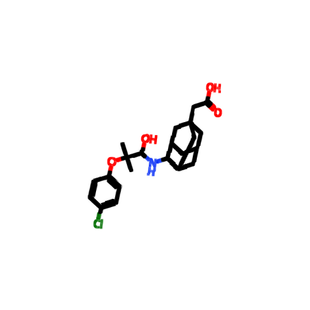 CC(C)(Oc1ccc(Cl)cc1)C(O)NC1C2CC3CC1CC(CC(=O)O)(C3)C2